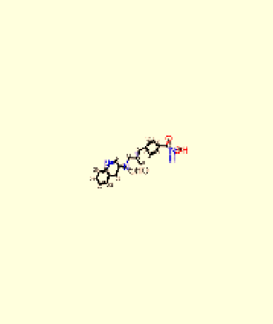 C/C(=C\c1ccc(C(=O)NO)cc1)CN(C=O)c1cnc2ccccc2c1